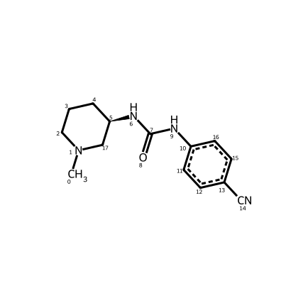 CN1CCC[C@@H](NC(=O)Nc2ccc(C#N)cc2)C1